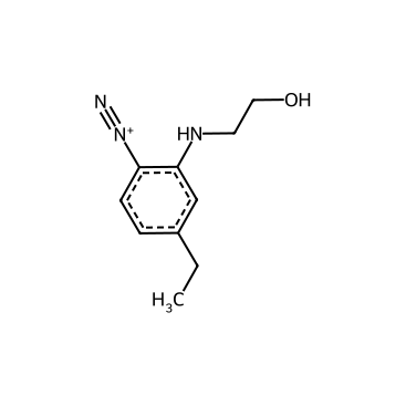 CCc1ccc([N+]#N)c(NCCO)c1